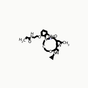 C=CC(=O)NCCOc1cccc2c1N1CCCCCOc3c(cnn3C3CC3)-c3cc(cc(C)n3)C(=O)/N=C/1N2